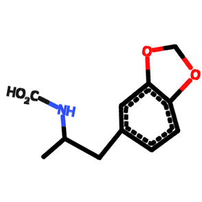 CC(Cc1ccc2c(c1)OCO2)NC(=O)O